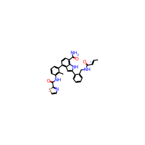 C/C=C/C(=O)NCc1ccccc1-c1cc2c(-c3cccc(NC(=O)c4nccs4)c3C)ccc(C(N)=O)c2[nH]1